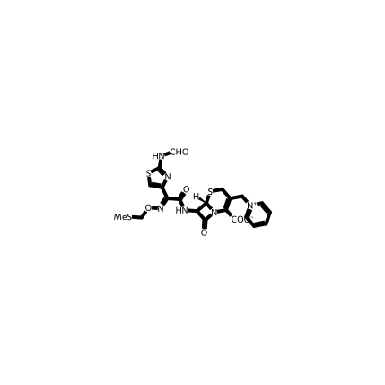 CSCON=C(C(=O)NC1C(=O)N2C(C(=O)[O-])=C(C[n+]3ccccc3)CS[C@@H]12)c1csc(NC=O)n1